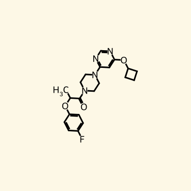 CC(Oc1ccc(F)cc1)C(=O)N1CCN(c2cc(OC3CCC3)ncn2)CC1